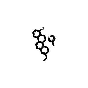 CCC1=Cc2ccc3c(c2CC1)CCc1c(Cl)cccc1-3.Cc1ccsc1